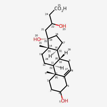 C[C@]12CCC(O)CC1=CC[C@@H]1[C@@H]2CC[C@@]2(C)[C@H]1CC[C@]2(O)CC(O)CC(=O)O